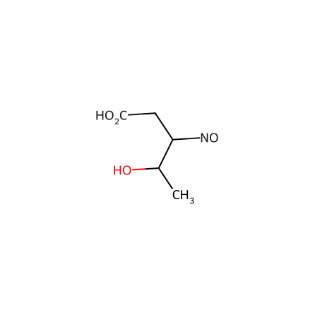 CC(O)C(CC(=O)O)N=O